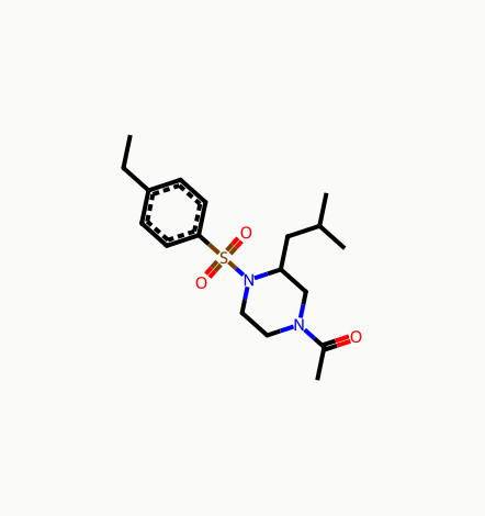 CCc1ccc(S(=O)(=O)N2CCN(C(C)=O)CC2CC(C)C)cc1